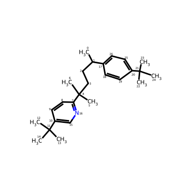 CC(CCC(C)(C)c1ccc(C(C)(C)C)cn1)c1ccc(C(C)(C)C)cc1